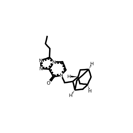 CCCc1nnc2c(=O)n(CC3[C@H]4C[C@H]5C[C@H](C4)C[C@H]3C5)ccn12